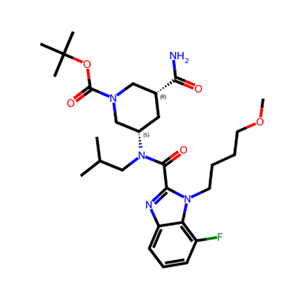 COCCCCn1c(C(=O)N(CC(C)C)[C@H]2C[C@@H](C(N)=O)CN(C(=O)OC(C)(C)C)C2)nc2cccc(F)c21